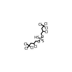 S=P(S)(OCC(Cl)CC(Cl)(Cl)Cl)OCC(Cl)CC(Cl)(Cl)Cl